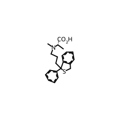 C[C@@H](C(=O)O)N(C)CCCC1(c2ccccc2)SCc2ccccc21